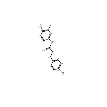 Cc1nc(NC(=O)COc2ccc(Cl)cc2)ccc1N